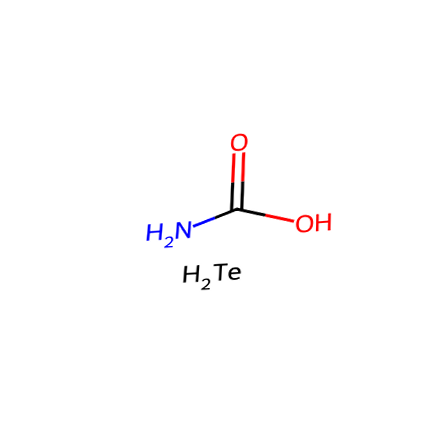 NC(=O)O.[TeH2]